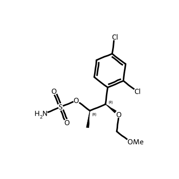 COCO[C@H](c1ccc(Cl)cc1Cl)[C@@H](C)OS(N)(=O)=O